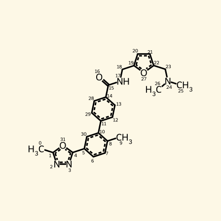 Cc1nnc(-c2ccc(C)c(-c3ccc(C(=O)NCc4ccc(CN(C)C)o4)cc3)c2)o1